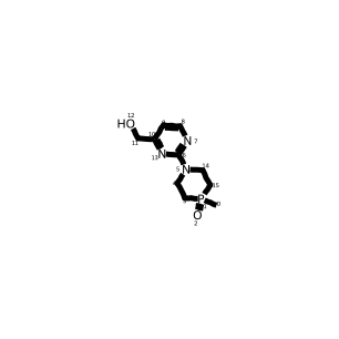 CP1(=O)CCN(c2nccc(CO)n2)CC1